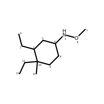 CCC1CC(NOC)CCC1(C)CC